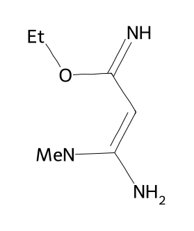 CCOC(=N)/C=C(/N)NC